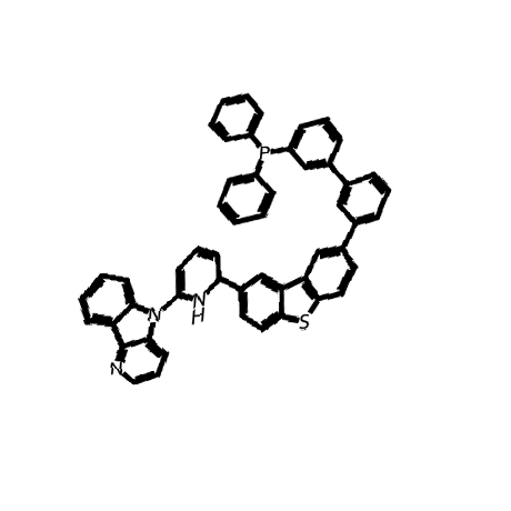 C1=CC(c2ccc3sc4ccc(-c5cccc(-c6cccc(P(c7ccccc7)c7ccccc7)c6)c5)cc4c3c2)NC(n2c3ccccc3c3ncccc32)=C1